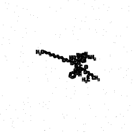 CCCCCCCCCCOCCC(=O)O[C@H]1[C@@H](O)[C@](C#N)(c2ccc3c(N)ncnn23)O[C@@H]1COP(=O)(N[C@H](C)C(=O)OCC(CC)CC)Oc1ccccc1